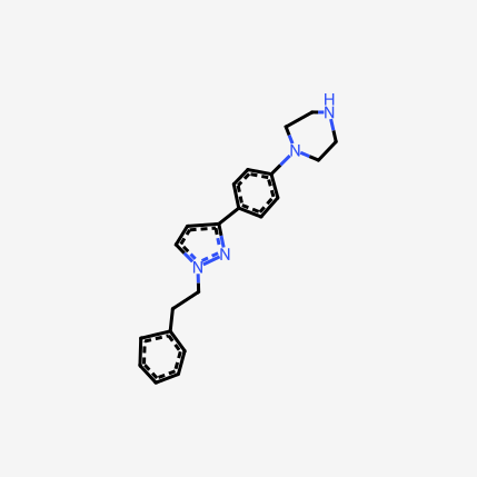 c1ccc(CCn2ccc(-c3ccc(N4CCNCC4)cc3)n2)cc1